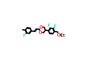 CCOCc1ccc(C2COC(/C=C/c3ccc(C)c(F)c3)OC2)c(F)c1F